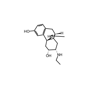 CCN[C@H]1C[C@@]2(O)[C@H]3Cc4ccc(O)cc4[C@@]2(CCN3C)C[C@H]1O